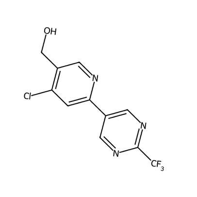 OCc1cnc(-c2cnc(C(F)(F)F)nc2)cc1Cl